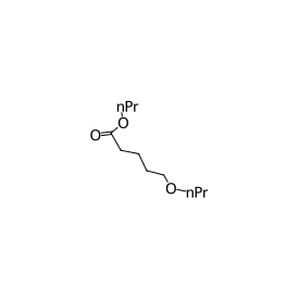 CCCOCCCCC(=O)OCCC